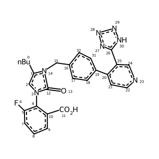 CCCCc1cn(-c2c(F)cccc2C(=O)O)c(=O)n1Cc1ccc(-c2ccncc2-c2nnn[nH]2)cc1